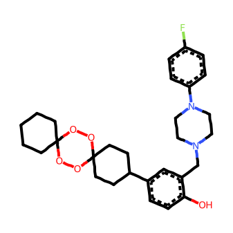 Oc1ccc(C2CCC3(CC2)OOC2(CCCCC2)OO3)cc1CN1CCN(c2ccc(F)cc2)CC1